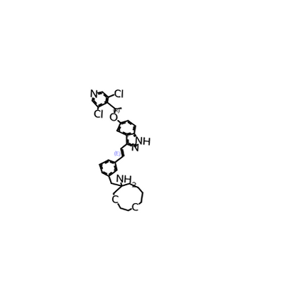 C[C@@H](Oc1ccc2[nH]nc(/C=C/c3cccc(CC4(N)CCCCCCCCC4)c3)c2c1)c1c(Cl)cncc1Cl